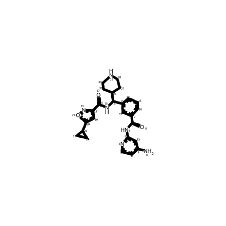 Nc1ccnc(NC(=O)c2cccc(C(NC(=O)c3cc(C4CC4)on3)C3CCNCC3)c2)c1